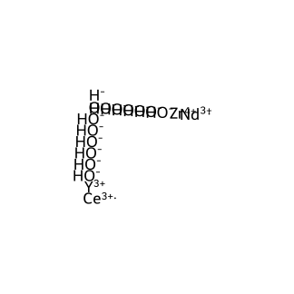 [Ce+3].[Nd+3].[OH-].[OH-].[OH-].[OH-].[OH-].[OH-].[OH-].[OH-].[OH-].[OH-].[OH-].[OH-].[OH-].[Y+3].[Zr+4]